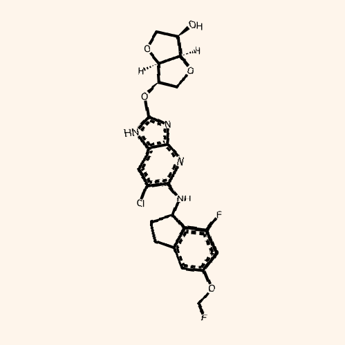 O[C@@H]1CO[C@H]2[C@@H]1OC[C@H]2Oc1nc2nc(NC3CCc4cc(OCF)cc(F)c43)c(Cl)cc2[nH]1